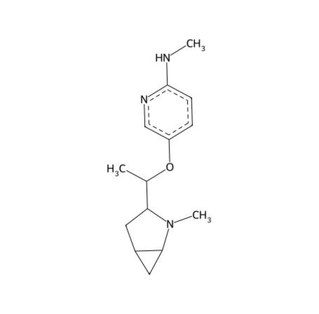 CNc1ccc(OC(C)C2CC3CC3N2C)cn1